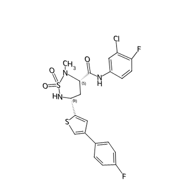 CN1[C@H](C(=O)Nc2ccc(F)c(Cl)c2)C[C@H](c2cc(-c3ccc(F)cc3)cs2)NS1(=O)=O